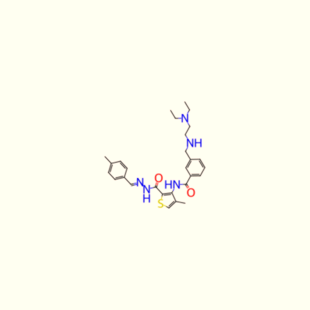 CCN(CC)CCNCc1cccc(C(=O)Nc2c(C)csc2C(=O)N/N=C/c2ccc(C)cc2)c1